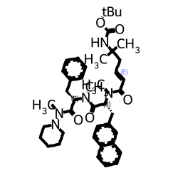 CN(C(=O)/C=C/CC(C)(C)NC(=O)OC(C)(C)C)[C@H](Cc1ccc2ccccc2c1)C(=O)N(C)[C@H](Cc1ccccc1)C(=O)N(C)N1CCCCC1